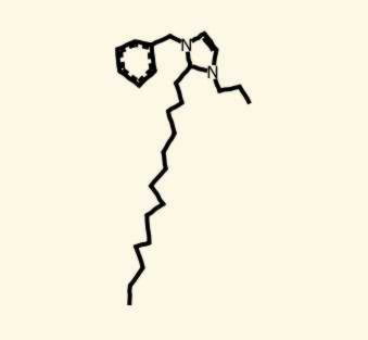 CCCCCCCCCCCCCCC1N(CCC)C=CN1Cc1ccccc1